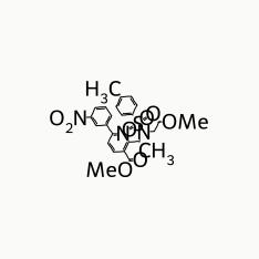 COC(=O)CN(C(C)c1nc(-c2cccc([N+](=O)[O-])c2)ccc1C(=O)OC)S(=O)(=O)c1ccc(C)cc1